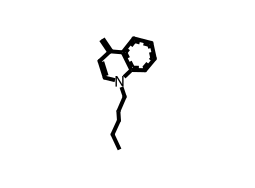 C=C1C=CN(CCCCC)c2ccccc21